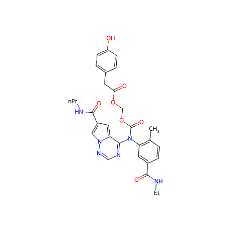 CCCNC(=O)c1cc2c(N(C(=O)OCOC(=O)Cc3ccc(O)cc3)c3cc(C(=O)NCC)ccc3C)ncnn2c1